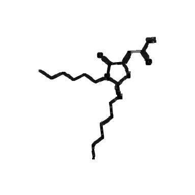 CCCCCCN=C1SC(=CC(=O)O)C(=O)N1CCCCCC